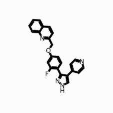 Fc1cc(OCc2ccc3ccccc3n2)ccc1-c1n[nH]cc1-c1ccncc1